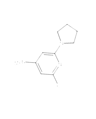 CNc1cc(N2CCCC2)nc(C(F)(F)F)c1